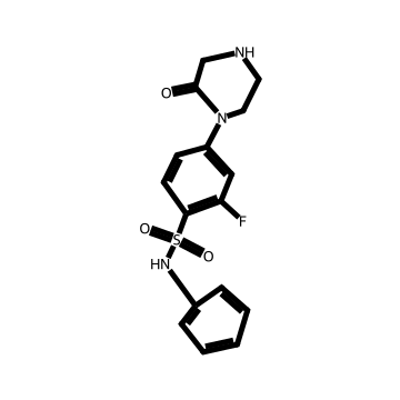 O=C1CNCCN1c1ccc(S(=O)(=O)Nc2ccccc2)c(F)c1